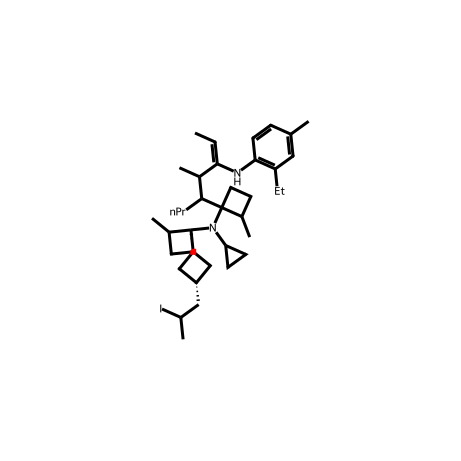 CC=C(Nc1ccc(C)cc1CC)C(C)C(CCC)C1(N(C2CC2)C2([C@H]3C[C@@H](CC(C)I)C3)CCC2C)CCC1C